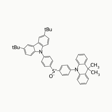 CC(C)(C)c1ccc2c(c1)c1cc(C(C)(C)C)ccc1n2-c1ccc([S+]([O-])c2ccc(N3c4ccccc4C(C)(C)c4ccccc43)cc2)cc1